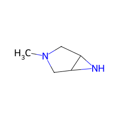 CN1CC2NC2C1